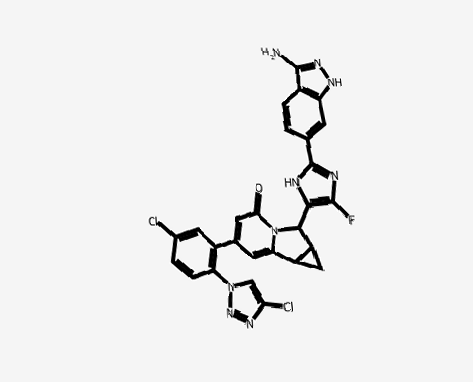 Nc1n[nH]c2cc(-c3nc(F)c(C4C5CC5c5cc(-c6cc(Cl)ccc6-n6cc(Cl)nn6)cc(=O)n54)[nH]3)ccc12